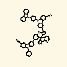 N#Cc1ccc2c(c1)c1cc(-c3ccc4c(c3)C3(c5cccnc5-c5ncccc53)c3cccc(-c5ccc6c(c5)c5cc(C#N)ccc5n6-c5ccc(-n6c7ccccc7c7ccccc76)cc5)c3S4)ccc1n2-c1ccccc1